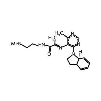 CNCCCNC(=O)/C(C)=N/c1c(C)ncnc1N1CCC2C=CC=C[C@@H]21